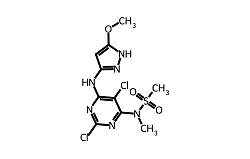 COc1cc(Nc2nc(Cl)nc(N(C)S(C)(=O)=O)c2Cl)n[nH]1